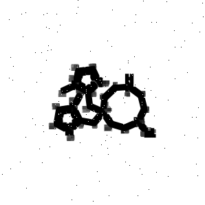 CCN1CCNCC[N+](Cc2nccn2C)(Cc2nccn2C)CC1